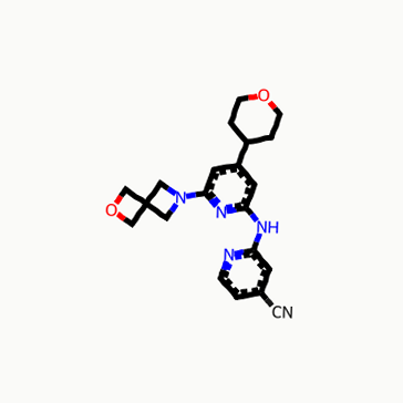 N#Cc1ccnc(Nc2cc(C3CCOCC3)cc(N3CC4(COC4)C3)n2)c1